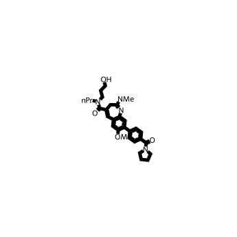 CCCN(CCCO)C(=O)C1=Cc2cc(OC)c(-c3ccc(C(=O)N4CCCC4)cc3)cc2N=C(NC)C1